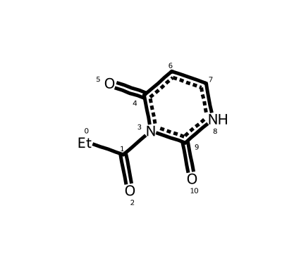 CCC(=O)n1c(=O)cc[nH]c1=O